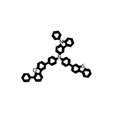 c1ccc(-c2cccc3c2oc2ccc(-c4ccc(N(c5ccc(-c6ccc7c(c6)sc6ccccc67)cc5)c5ccc6c(c5)c5ccccc5n6-c5ccccc5)cc4)cc23)cc1